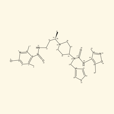 Cc1cc(Cl)nc(C)c1C(=O)NCC[C@@H](C)N1CCC(N(Cc2ccsc2)C(=O)Nc2c(C)noc2C)CC1